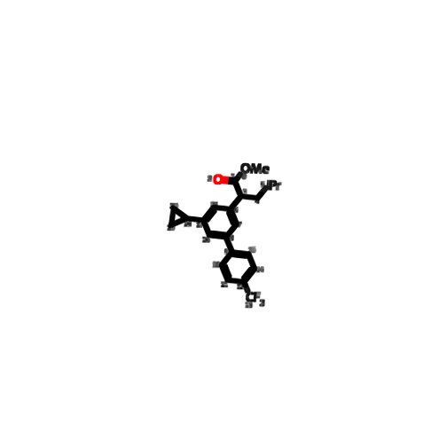 COC(=O)C(CC(C)C)c1cc(-c2ccc(C(F)(F)F)cc2)cc(C2CC2)c1